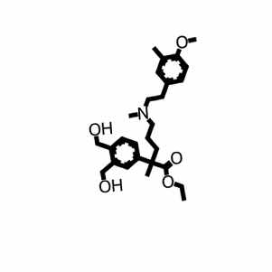 CCOC(=O)C(C)(CCCN(C)CCc1ccc(OC)c(C)c1)c1ccc(CO)c(CO)c1